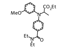 CCOC(=O)C(C)N(c1ccc(C(=O)N(CC)CC)cc1)c1cccc(OC)c1